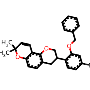 CCc1ccc(C2COc3c(ccc4c3C=CC(C)(C)O4)C2)c(OCc2ccccc2)c1